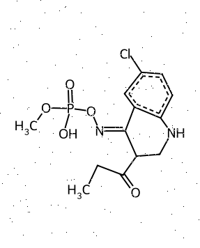 CCC(=O)C1CNc2ccc(Cl)cc2C1=NOP(=O)(O)OC